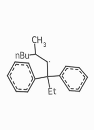 CCCCC(C)[CH]C(CC)(c1ccccc1)c1ccccc1